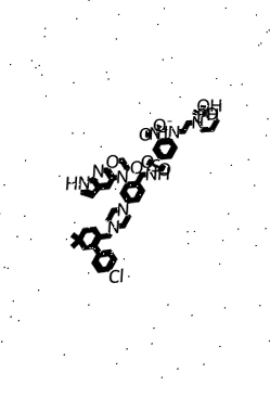 CC1(C)CCC(CN2CCN(c3ccc(C(=O)NS(=O)(=O)c4ccc(NCCN5CCCO[PH]5(C)O)c([N+](=O)[O-])c4)c(N4CCOc5nc6[nH]ccc6cc54)c3)CC2)=C(c2ccc(Cl)cc2)C1